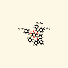 COc1ccc(CO[C@@H]2[C@@H](OCc3ccc(OC)cc3)[C@H](Sc3ccccc3)O[C@H](COC(c3ccccc3)(c3ccccc3)c3ccccc3)[C@H]2OCc2ccc(OC)cc2)cc1